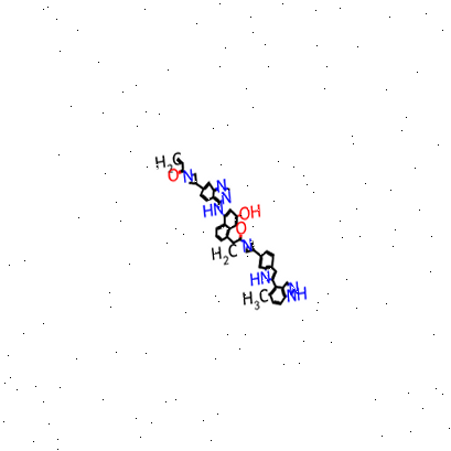 C=CC(=O)N1CC(c2ccc3c(Nc4cc(O)cc5c(C(=C)C(=O)N6CC(c7ccc8cc(-c9c(C)ccc%10[nH]ncc9%10)[nH]c8c7)C6)cccc45)ncnc3c2)C1